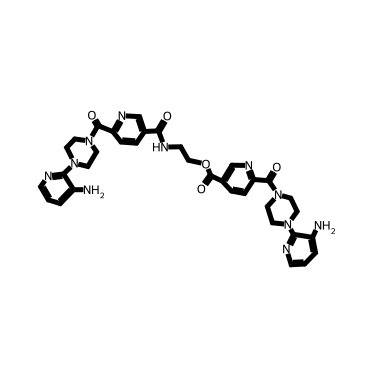 Nc1cccnc1N1CCN(C(=O)c2ccc(C(=O)NCCOC(=O)c3ccc(C(=O)N4CCN(c5ncccc5N)CC4)nc3)cn2)CC1